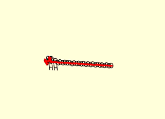 COCCOCCOCCOCCOCCOCCOCCOCCOCCOCCOCCOCCOCCOCCOCCOCCOCCOCCOCCOCCOCCOCCOCCOCCC(=O)NCCCCC(NC(=O)OCC1c2ccccc2-c2ccccc21)C(=O)ON1C(=O)CCC1=O